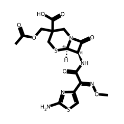 CON=C(C(=O)N[C@@H]1C(=O)N2CC(COC(C)=O)(C(=O)O)CS[C@H]12)c1csc(N)n1